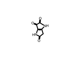 O=C1CC2=C(N1)C(=O)C(=O)N2